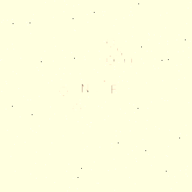 CC(OS(C)(=O)=O)C1(F)CCN(C(=O)OCc2ccccc2)C1